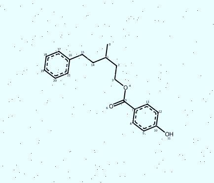 CC(CCOC(=O)c1ccc(O)cc1)CCc1ccccc1